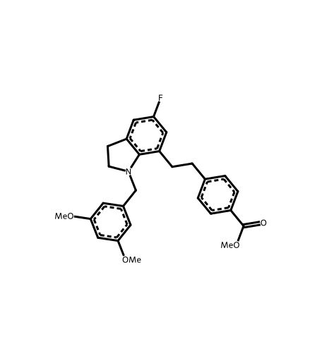 COC(=O)c1ccc(CCc2cc(F)cc3c2N(Cc2cc(OC)cc(OC)c2)CC3)cc1